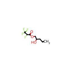 C=CCC(O)COC(=O)C(F)C(F)(F)F